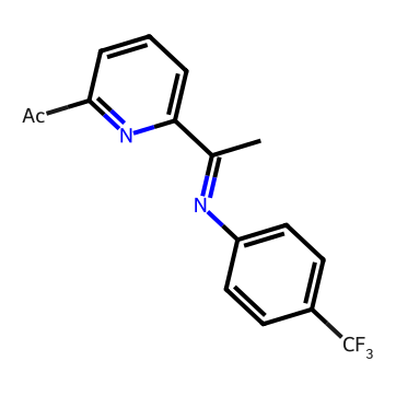 CC(=O)c1cccc(/C(C)=N/c2ccc(C(F)(F)F)cc2)n1